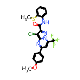 COc1ccc(-c2cc(C(F)(F)F)n3nc(C(=O)Nc4ccccc4SC)c(Cl)c3n2)cc1